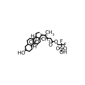 C[C@H](CCC(=O)OCC(F)(F)S(=O)(=O)O)[C@H]1CC[C@H]2[C@@H]3CCC4C[C@H](O)CC[C@]4(C)[C@H]3CC[C@]12C